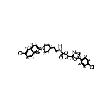 O=C(NCCC1CCN(c2ccc3cc(Cl)ccc3n2)CC1)OCc1nnc(-c2ccc(Cl)cc2)o1